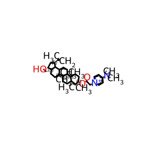 C=C(C)[C@@H]1CC[C@]2(CO)CC[C@]3(C)C(CCC4[C@@]5(C)CC[C@H](OC(=O)C[n+]6ccc(N(C)C)cc6)C(C)(C)C5CC[C@]43C)C12